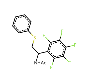 CC(=O)NC(CSc1ccccc1)c1c(F)c(F)c(F)c(F)c1F